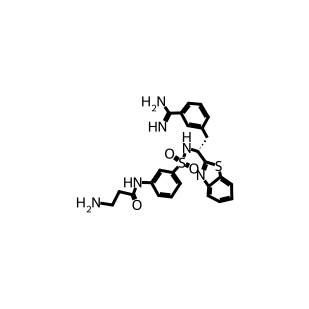 N=C(N)c1cccc(C[C@@H](NS(=O)(=O)c2cccc(NC(=O)CCN)c2)c2nc3ccccc3s2)c1